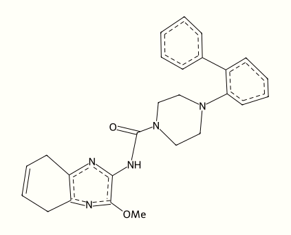 COc1nc2c(nc1NC(=O)N1CCN(c3ccccc3-c3ccccc3)CC1)CC=CC2